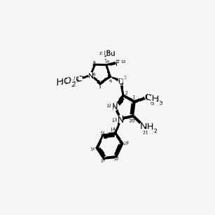 Cc1c(O[C@H]2CN(C(=O)O)C[C@]2(F)C(C)(C)C)nn(-c2ccccc2)c1N